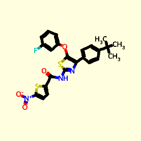 CC(C)(C)c1ccc(-c2nc(NC(=O)c3ccc([N+](=O)[O-])s3)sc2Oc2cccc(F)c2)cc1